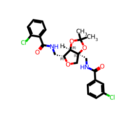 CC1(C)O[C@@H]2[C@@H](CNC(=O)c3ccccc3Cl)OC[C@]2(CNC(=O)c2cccc(Cl)c2)O1